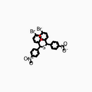 O=[N+]([O-])c1ccc(C(SC(c2ccc(Br)cc2)c2ccc([N+](=O)[O-])cc2)c2ccc(Br)cc2)cc1